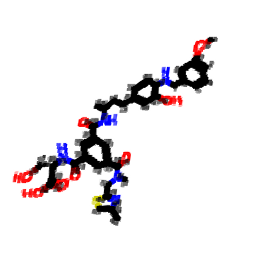 COc1cccc(CNc2ccc(CCC(C)NC(=O)c3cc(C(=O)N[C@@H](CO)C(=O)O)cc(C(=O)N(C)Cc4nc(C)cs4)c3)cc2O)c1